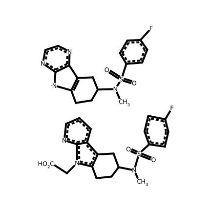 CN(C1CCC2=C(C1)c1nccnc1[N]2)S(=O)(=O)c1ccc(F)cc1.CN(C1CCc2c(c3cccnc3n2CC(=O)O)C1)S(=O)(=O)c1ccc(F)cc1